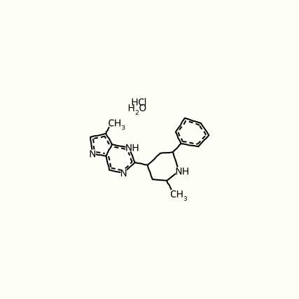 Cc1cnc2cnc(C3CC(C)NC(c4ccccc4)C3)[nH]c1-2.Cl.O